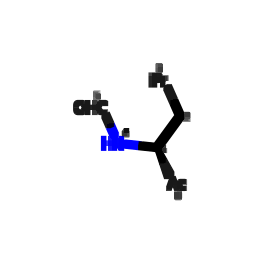 CC(=O)[C@H](CC(C)C)NC=O